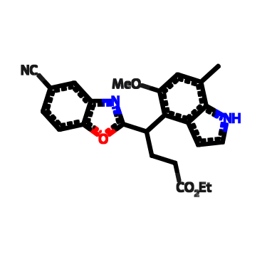 CCOC(=O)CCC(c1nc2cc(C#N)ccc2o1)c1c(OC)cc(C)c2[nH]ccc12